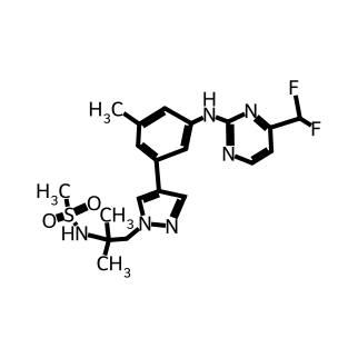 Cc1cc(Nc2nccc(C(F)F)n2)cc(-c2cnn(CC(C)(C)NS(C)(=O)=O)c2)c1